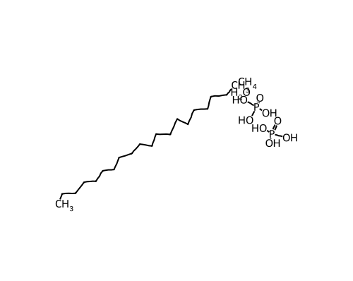 C.CCCCCCCCCCCCCCCCCCCC.O.O=P(O)(O)O.O=P(O)(O)O